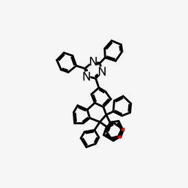 c1ccc(-c2nc(-c3ccccc3)nc(-c3ccc4c(c3)-c3ccccc3C(c3ccccc3)(c3ccccc3)C4(c3ccccc3)c3ccccc3)n2)cc1